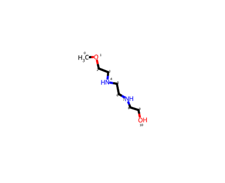 COCCNCCNCCO